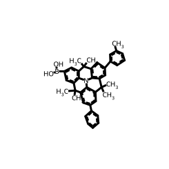 Cc1cccc(-c2cc3c4c(c2)C(C)(C)c2cc(-c5ccccc5)cc5c2N4c2c(cc(B(O)O)cc2C3(C)C)C5(C)C)c1